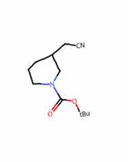 CC(C)(C)OC(=O)N1CCCC(CC#N)C1